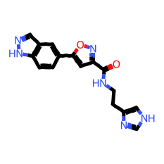 O=C(NCCc1c[nH]cn1)c1cc(-c2ccc3[nH]ncc3c2)on1